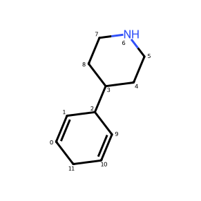 C1=CC(C2CCNCC2)C=CC1